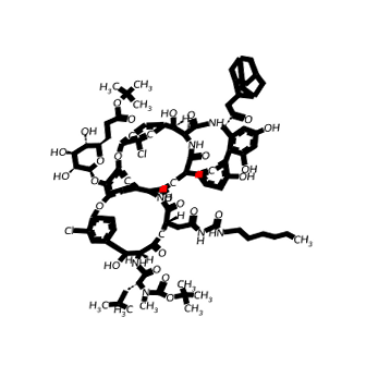 CCCCCCNC(=O)NC(=O)C[C@@H]1CC(=O)[C@H](NC(=O)[C@@H](CC(C)C)N(C)C(=O)OC(C)(C)C)[C@H](O)c2ccc(c(Cl)c2)Oc2cc3cc(c2O[C@@H]2O[C@H](CCC(=O)OC(C)(C)C)[C@@H](O)[C@H](O)[C@H]2O)Oc2ccc(cc2Cl)[C@@H](O)[C@@H]2NC(=O)[C@H](CC(=O)[C@@H]3NC1=O)c1ccc(O)c(c1)-c1c(O)cc(O)cc1[C@@H](C(=O)CC1C3CC4CC(C3)CC1C4)NC2=O